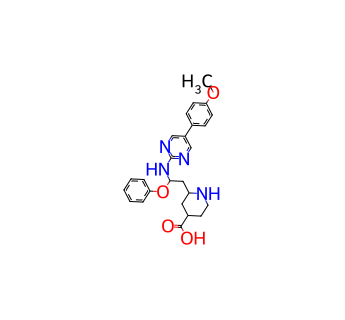 COc1ccc(-c2cnc(NC(CC3CC(C(=O)O)CCN3)Oc3ccccc3)nc2)cc1